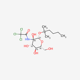 CCCC[Si](C)(C)O[C@@H]1O[C@H](CO)[C@@H](O)[C@H](O)[C@]1(O)NC(=O)C(Cl)(Cl)Cl